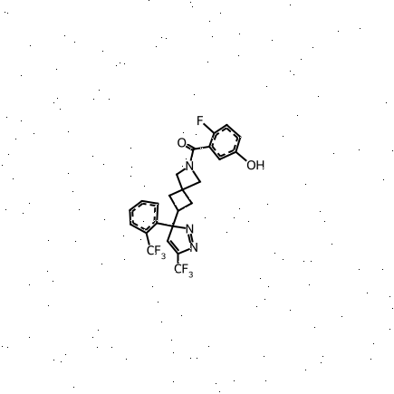 O=C(c1cc(O)ccc1F)N1CC2(CC(C3(c4ccccc4C(F)(F)F)C=C(C(F)(F)F)N=N3)C2)C1